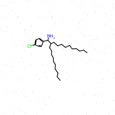 CCCCCCCCCCC(CCCCCCCCCC)C(N)c1ccc(Cl)cc1